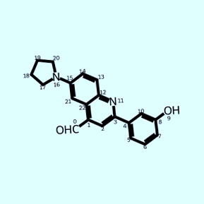 O=Cc1cc(-c2cccc(O)c2)nc2ccc(N3CCCC3)cc12